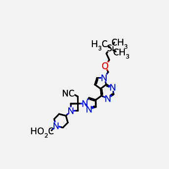 C[Si](C)(C)CCOCn1ccc2c(-c3cnn(C4(CC#N)CN(C5CCN(C(=O)O)CC5)C4)c3)ncnc21